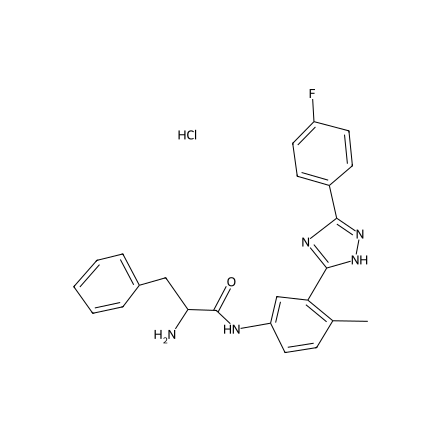 Cc1ccc(NC(=O)C(N)Cc2ccccc2)cc1-c1nc(-c2ccc(F)cc2)n[nH]1.Cl